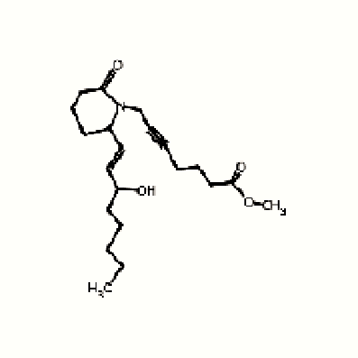 CCCCCC(O)C=CC1CCCC(=O)N1CC#CCCCC(=O)OC